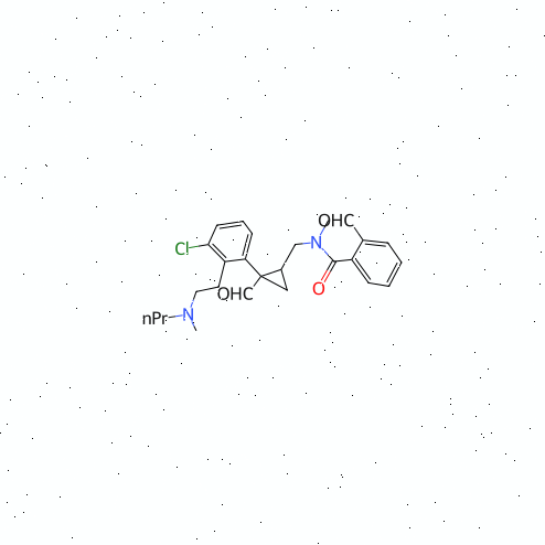 CCCN(C)CCc1c(Cl)cccc1C1(C=O)CC1CN(C)C(=O)c1ccccc1C=O